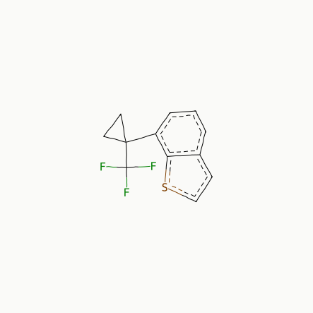 FC(F)(F)C1(c2cccc3ccsc23)CC1